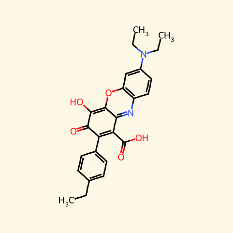 CCc1ccc(-c2c(C(=O)O)c3nc4ccc(N(CC)CC)cc4oc-3c(O)c2=O)cc1